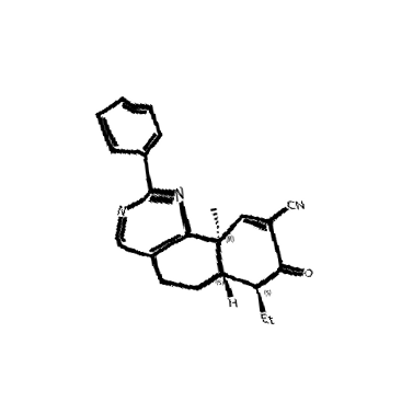 CC[C@@H]1C(=O)C(C#N)=C[C@]2(C)c3nc(-c4ccccc4)ncc3CC[C@@H]12